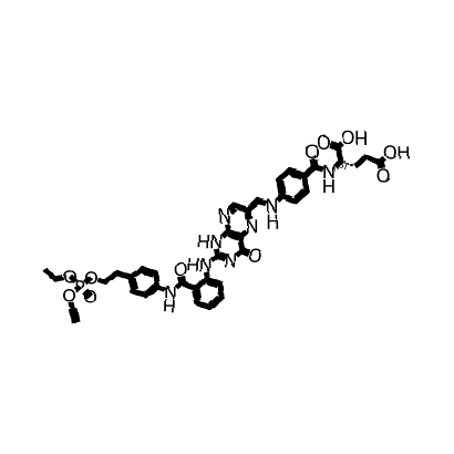 C#COP(=O)(OCC)OCCc1ccc(NC(=O)c2ccccc2Nc2nc(=O)c3nc(CNc4ccc(C(=O)N[C@@H](CCC(=O)O)C(=O)O)cc4)cnc3[nH]2)cc1